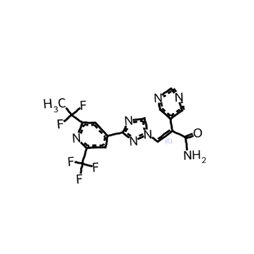 CC(F)(F)c1cc(-c2ncn(/C=C(/C(N)=O)c3cncnc3)n2)cc(C(F)(F)F)n1